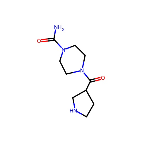 NC(=O)N1CCN(C(=O)C2CCNC2)CC1